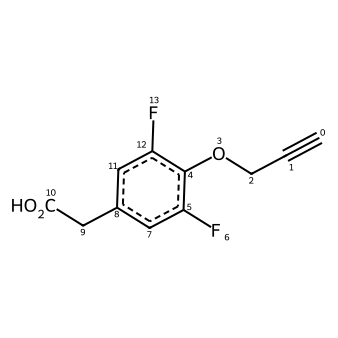 C#CCOc1c(F)cc(CC(=O)O)cc1F